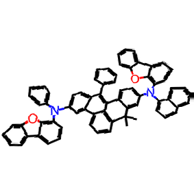 CC1(C)c2cc(N(c3cccc4ccccc34)c3cccc4c3oc3ccccc34)ccc2-c2c(-c3ccccc3)c3ccc(N(c4ccccc4)c4cccc5c4oc4ccccc45)cc3c3cccc1c23